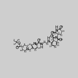 CC(C)(C)OC(=O)C1CCN(Cc2ccc(C(=O)NCCNc3cccc4c3C(=O)N(C3CCC(=O)NC3=O)C4=O)nc2)CC1